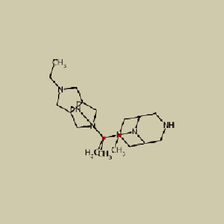 CCN1CC23CN(CC)CC2(C1)CN(C(C)N1CC2CNCC(C1)N2CC)C3